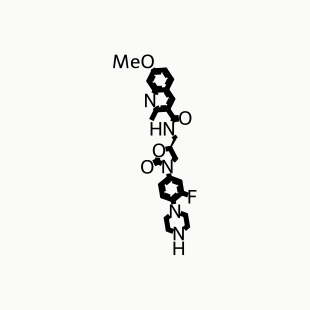 COc1ccc2cc(C(=O)NC[C@H]3CN(c4ccc(N5CCNCC5)c(F)c4)C(=O)O3)c(C)nc2c1